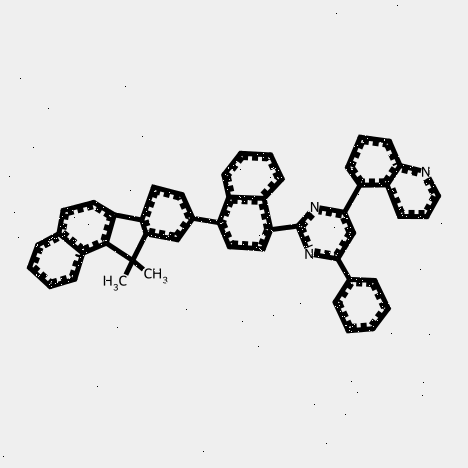 CC1(C)c2cc(-c3ccc(-c4nc(-c5ccccc5)cc(-c5cccc6ncccc56)n4)c4ccccc34)ccc2-c2ccc3ccccc3c21